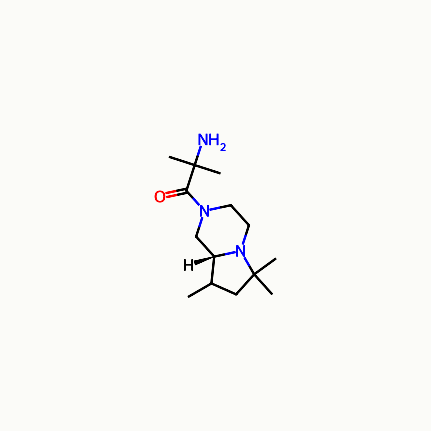 CC1CC(C)(C)N2CCN(C(=O)C(C)(C)N)C[C@@H]12